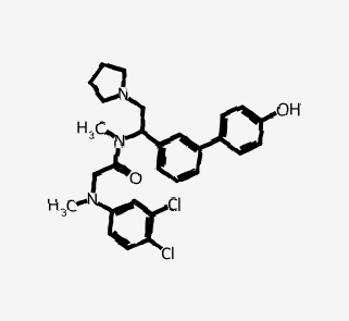 CN(CC(=O)N(C)C(CN1CCCC1)c1cccc(-c2ccc(O)cc2)c1)c1ccc(Cl)c(Cl)c1